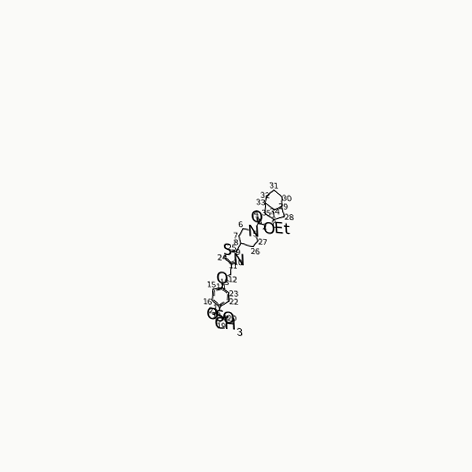 CCC1(OC(=O)N2CCC(c3nc(COc4ccc(S(C)(=O)=O)cc4)cs3)CC2)CC2CCCC(C2)C1